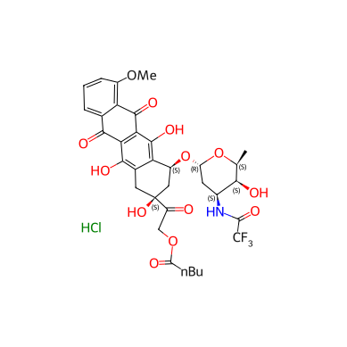 CCCCC(=O)OCC(=O)[C@]1(O)Cc2c(O)c3c(c(O)c2[C@@H](O[C@H]2C[C@H](NC(=O)C(F)(F)F)[C@H](O)[C@H](C)O2)C1)C(=O)c1c(OC)cccc1C3=O.Cl